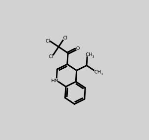 CC(C)C1C(C(=O)C(Cl)(Cl)Cl)=CNc2ccccc21